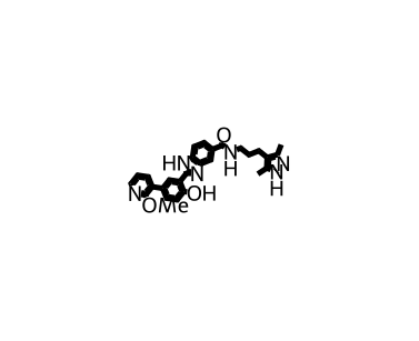 COc1ncccc1-c1ccc(O)c(-c2nc3cc(C(=O)NCCCc4c(C)n[nH]c4C)ccc3[nH]2)c1